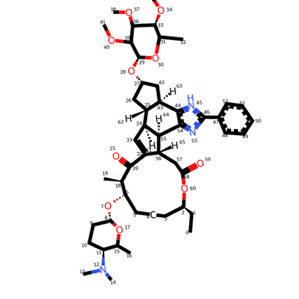 CC[C@H]1CCC[C@H](O[C@H]2CC[C@H](N(C)C)C(C)O2)[C@@H](C)C(=O)C2=C[C@H]3[C@@H]4C[C@H](O[C@@H]5OC(C)[C@H](OC)C(OC)C5OC)C[C@H]4c4[nH]c(-c5ccccc5)nc4[C@H]3[C@@H]2CC(=O)O1